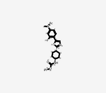 CC(=O)N(C)c1ccc(-c2cnc([C@H]3CC[C@H](NC(=O)OC(C)C)CC3)s2)c(F)c1